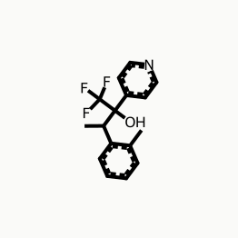 Cc1ccccc1C(C)C(O)(c1ccncc1)C(F)(F)F